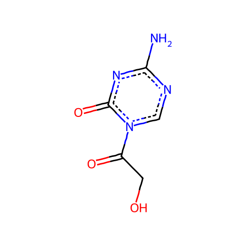 Nc1ncn(C(=O)CO)c(=O)n1